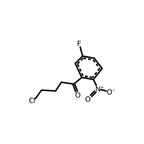 O=C(CCCCl)c1cc(F)ccc1[N+](=O)[O-]